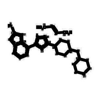 CC(C)n1cc2cccc(-c3nnc(C4CCN(CC5CCOCC5)CC4)o3)c2n1.O=C(O)C=CC(=O)O